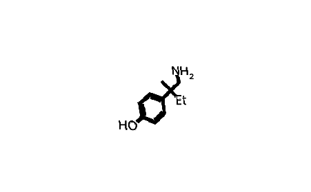 CCC(C)(CN)c1ccc(O)cc1